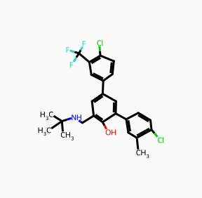 Cc1cc(-c2cc(-c3ccc(Cl)c(C(F)(F)F)c3)cc(CNC(C)(C)C)c2O)ccc1Cl